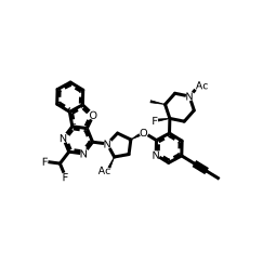 CC#Cc1cnc(O[C@H]2C[C@@H](C(C)=O)N(c3nc(C(F)F)nc4c3oc3ccccc34)C2)c([C@@]2(F)CCN(C(C)=O)C[C@@H]2C)c1